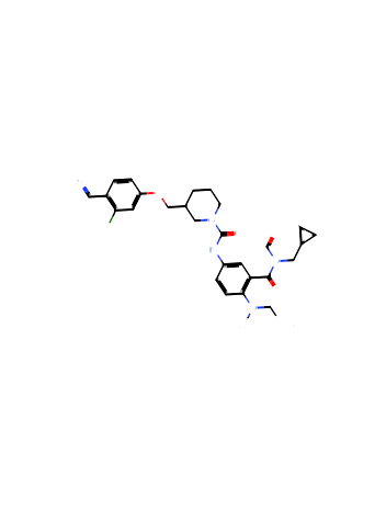 CCN(C)c1ccc(NC(=O)N2CCCC(COc3ccc(C=N)c(Cl)c3)C2)cc1C(=O)N(C=O)CC1CC1